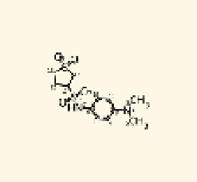 CN(C)c1ccc(NS(=O)(=O)C2CCS(=O)(=O)C2)cc1